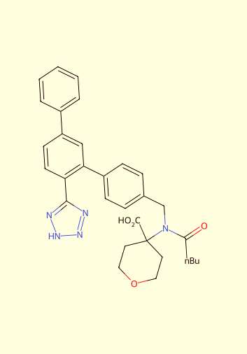 CCCCC(=O)N(Cc1ccc(-c2cc(-c3ccccc3)ccc2-c2nn[nH]n2)cc1)C1(C(=O)O)CCOCC1